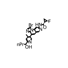 CCCC(O)c1cc(C)c(-c2cc3cnc(NC(=O)[C@H]4C[C@H]4F)cc3n3c(Br)cnc23)cn1